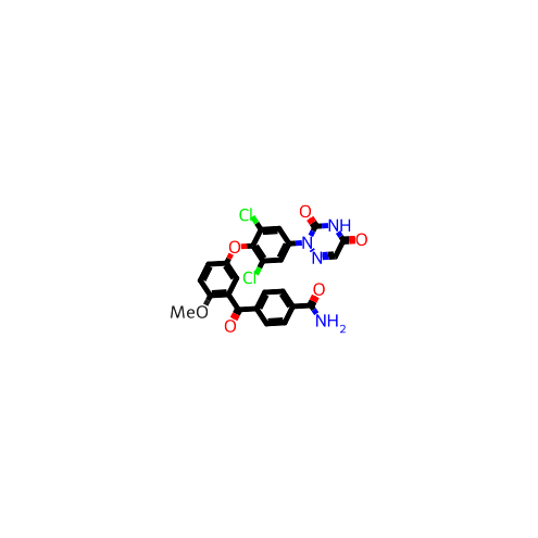 COc1ccc(Oc2c(Cl)cc(-n3ncc(=O)[nH]c3=O)cc2Cl)cc1C(=O)c1ccc(C(N)=O)cc1